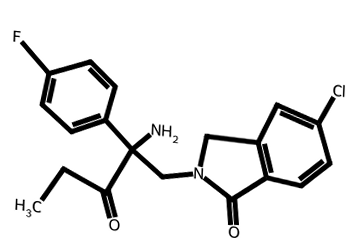 CCC(=O)C(N)(CN1Cc2cc(Cl)ccc2C1=O)c1ccc(F)cc1